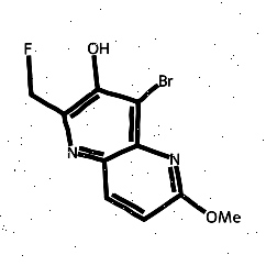 COc1ccc2nc(CF)c(O)c(Br)c2n1